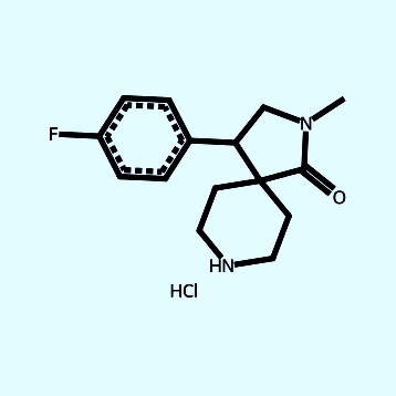 CN1CC(c2ccc(F)cc2)C2(CCNCC2)C1=O.Cl